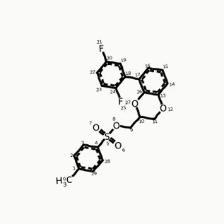 Cc1ccc(S(=O)(=O)OCC2COc3cccc(-c4cc(F)ccc4F)c3O2)cc1